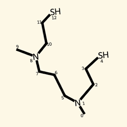 CN(CCS)CCCN(C)CCS